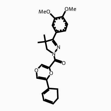 COc1ccc(C2=NN(C(=O)C3=COC=C(C4=CC=CCC4)O3)CC2(C)C)cc1OC